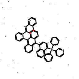 c1ccc([Si](c2ccccc2)(c2ccccc2)c2ccc(-c3c4ccccc4c(-c4ccccc4-c4ccc5ccccc5c4)c4ccccc34)c3ccccc23)cc1